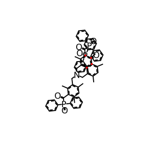 Cc1cc(C)c(C(=O)P(=O)(c2ccccc2)c2ccccc2)c(C)c1CN(Cc1c(C)cc(C)c(C(=O)P(=O)(c2ccccc2)c2ccccc2)c1C)Cc1c(C)cc(C)c(C(=O)P(=O)(c2ccccc2)c2ccccc2)c1C